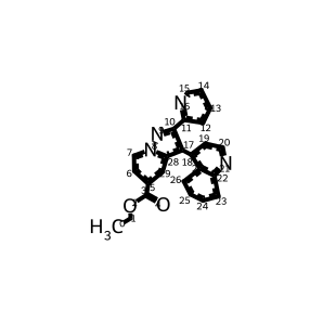 CCOC(=O)c1ccn2nc(-c3ccccn3)c(-c3ccnc4ccccc34)c2c1